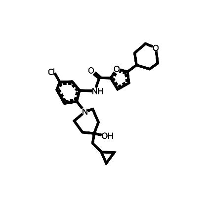 O=C(Nc1cc(Cl)ccc1N1CCC(O)(CC2CC2)CC1)c1ccc(C2CCOCC2)o1